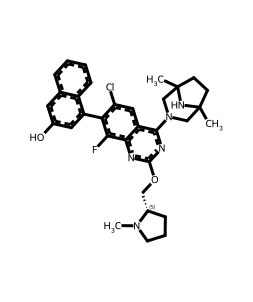 CN1CCC[C@H]1COc1nc(N2CC3(C)CCC(C)(C2)N3)c2cc(Cl)c(-c3cc(O)cc4ccccc34)c(F)c2n1